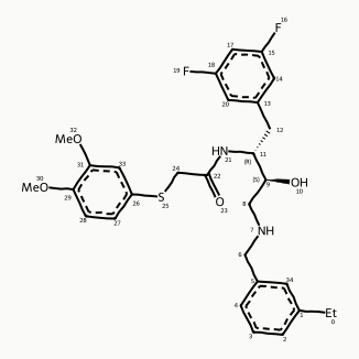 CCc1cccc(CNC[C@H](O)[C@@H](Cc2cc(F)cc(F)c2)NC(=O)CSc2ccc(OC)c(OC)c2)c1